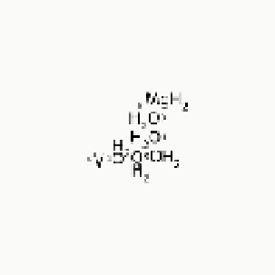 O.O.O.O.O.[MgH2].[V]